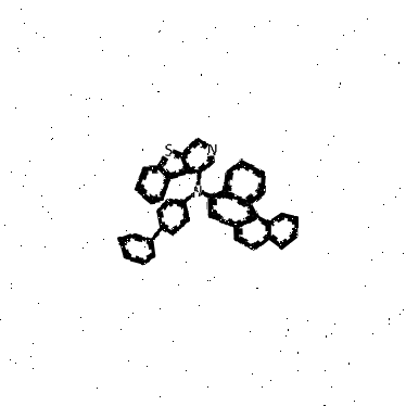 c1ccc(-c2ccc(N(c3cc4ccc5ccccc5c4c4ccccc34)c3cncc4sc5ccccc5c34)cc2)cc1